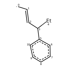 [CH2]C=CC(CC)c1ccccc1